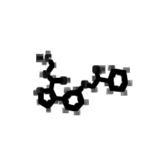 CCOC(=O)c1occc1-c1cccc(OCC(O)c2ccccc2)c1